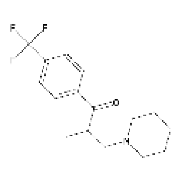 CC(CN1CCCCC1)C(=O)c1ccc(C(F)(F)F)cc1